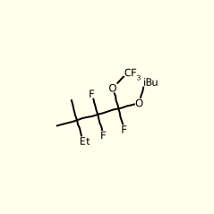 CCC(C)OC(F)(OC(F)(F)F)C(F)(F)C(C)(C)CC